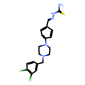 NC(=S)NN=Cc1ccc(N2CCN(Cc3ccc(Cl)c(Cl)c3)CC2)cc1